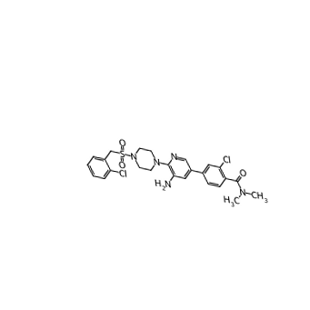 CN(C)C(=O)c1ccc(-c2cnc(N3CCN(S(=O)(=O)Cc4ccccc4Cl)CC3)c(N)c2)cc1Cl